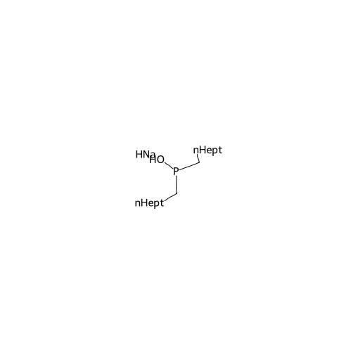 CCCCCCCCP(O)CCCCCCCC.[NaH]